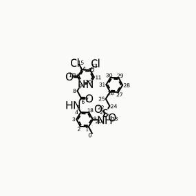 Cc1ccc(NC(=O)Cn2ncc(Cl)c(Cl)c2=O)cc1NS(=O)(=O)CCc1ccccc1